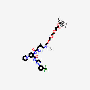 CN(CCOCCOCCOCCC(=O)OC(C)(C)C)CC1=CC1CC(=N)C(=O)Nc1ccc(N2CCCCC2)cc1C(=O)Nc1ccn(-c2cccc(C(F)(F)F)c2)n1